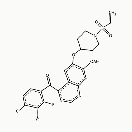 C=CS(=O)(=O)N1CCC(Oc2cc3c(C(=O)c4ccc(Cl)c(Cl)c4F)ncnc3cc2OC)CC1